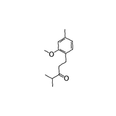 COc1cc(C)ccc1CCC(=O)C(C)C